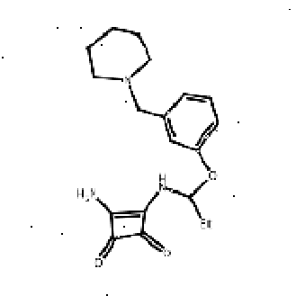 CCC(Nc1c(N)c(=O)c1=O)Oc1cccc(CN2CCCCC2)c1